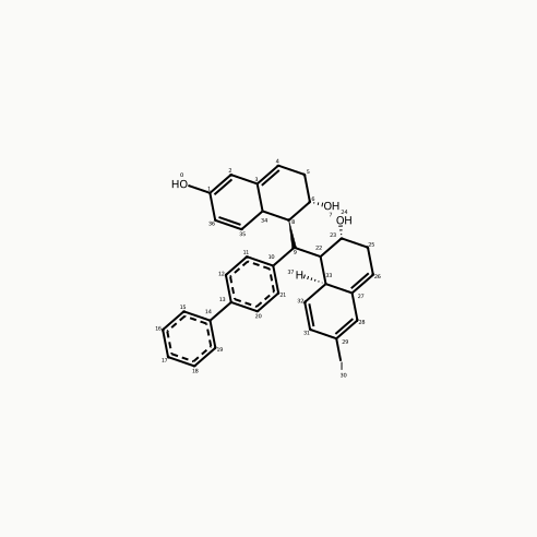 OC1=CC2=CC[C@H](O)[C@@H](C(c3ccc(-c4ccccc4)cc3)C3[C@H](O)CC=C4C=C(I)C=C[C@H]43)C2C=C1